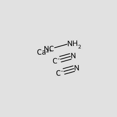 N#CN.[C-]#N.[C-]#N.[Ca+2]